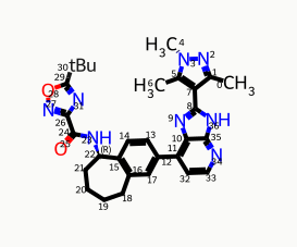 Cc1nn(C)c(C)c1-c1nc2c(-c3ccc4c(c3)CCCC[C@H]4NC(=O)c3noc(C(C)(C)C)n3)ccnc2[nH]1